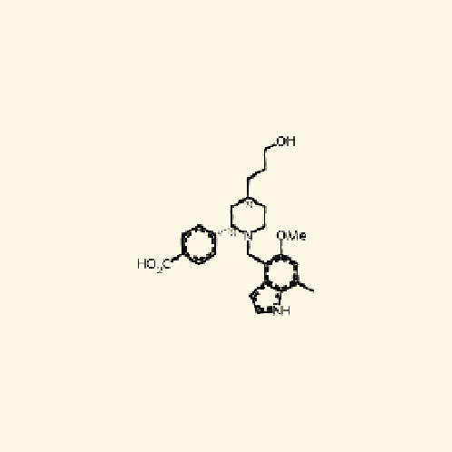 COc1cc(C)c2[nH]ccc2c1CN1CC[C@H](CCCO)C[C@H]1c1ccc(C(=O)O)cc1